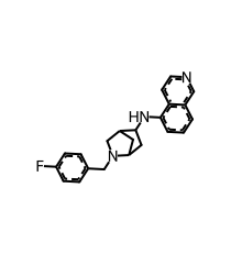 Fc1ccc(CN2CC3CC2CC3Nc2cccc3cnccc23)cc1